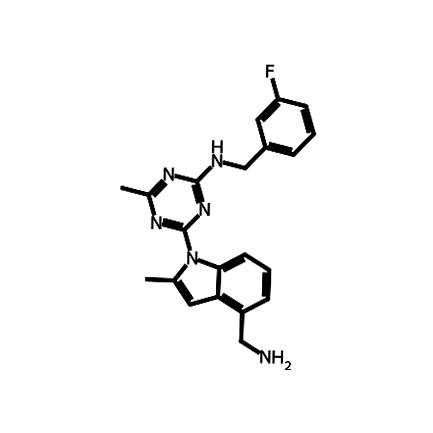 Cc1nc(NCc2cccc(F)c2)nc(-n2c(C)cc3c(CN)cccc32)n1